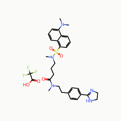 CN(CCc1ccc(C2=NCCN2)cc1)C(=O)CCCN(C)S(=O)(=O)c1cccc2c(N(C)C)cccc12.O=C(O)C(F)(F)F